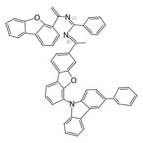 C=C(/N=C(\N=C(/C)c1ccc2c(c1)oc1c(-n3c4ccccc4c4cc(-c5ccccc5)ccc43)cccc12)c1ccccc1)c1cccc2c1oc1ccccc12